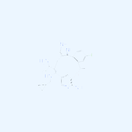 CN/C=C1/C/C(C(N)Cl)=C(/NCC2CC2)c2cnc(N)c(c2)OC(C)c2cc(F)ccc2C1=N